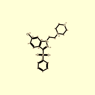 O=S(=O)(c1ccccc1)c1nn(CCN2CCOCC2)c2cc(Cl)ccc12